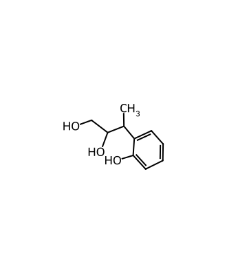 CC(c1ccccc1O)C(O)CO